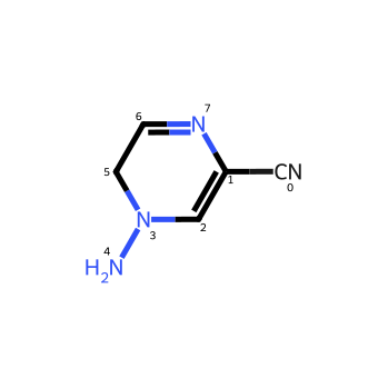 N#CC1=CN(N)CC=N1